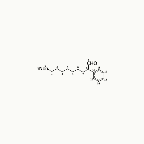 CCCCCCCCCCCCCCCCC(C=O)c1ccccc1